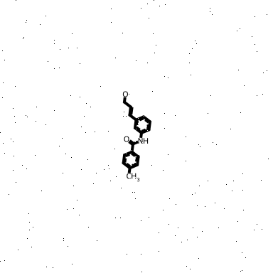 Cc1ccc(C(=O)Nc2cccc(/C=C/C[O])c2)cc1